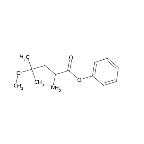 COC(C)(C)CC(N)C(=O)Oc1ccccc1